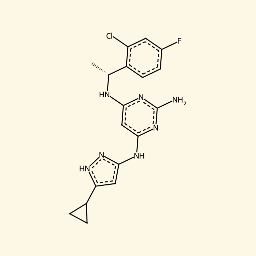 C[C@@H](Nc1cc(Nc2cc(C3CC3)[nH]n2)nc(N)n1)c1ccc(F)cc1Cl